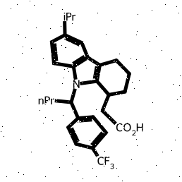 CCCC(c1ccc(C(F)(F)F)cc1)n1c2c(c3cc(C(C)C)ccc31)CCCC2CC(=O)O